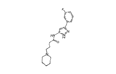 O=C(CCCN1CCCCC1)Nc1cc(-c2cccc(F)c2)n[nH]1